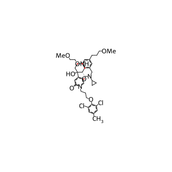 COCCCc1cc(CN(C(=O)[C@H]2CNCC[C@@]2(O)c2ccn(CCCOc3c(Cl)cc(C)cc3Cl)c(=O)c2)C2CC2)cc(OCCOC)c1